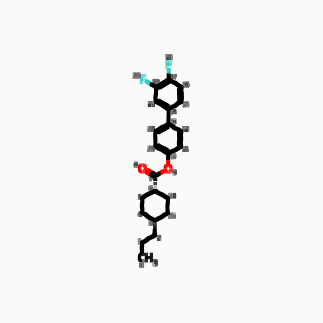 CCC[C@H]1CC[C@H](C(=O)Oc2ccc(-c3ccc(F)c(F)c3)cc2)CC1